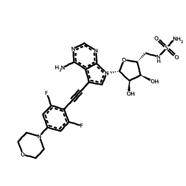 Nc1ncnc2c1c(C#Cc1c(F)cc(N3CCOCC3)cc1F)cn2[C@@H]1O[C@H](CNS(N)(=O)=O)[C@@H](O)[C@H]1O